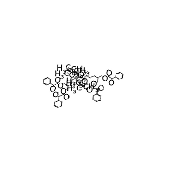 C[Si](C)(C)O[Si](C)(CCCC(COC(=O)C(=O)c1ccccc1)COC(=O)C(=O)c1ccccc1)O[Si](C)(CCCC(COC(=O)C(=O)c1ccccc1)COC(=O)C(=O)c1ccccc1)O[Si](C)(C)C